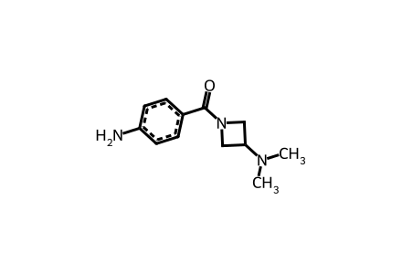 CN(C)C1CN(C(=O)c2ccc(N)cc2)C1